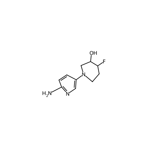 Nc1ccc(N2CCC(F)C(O)C2)cn1